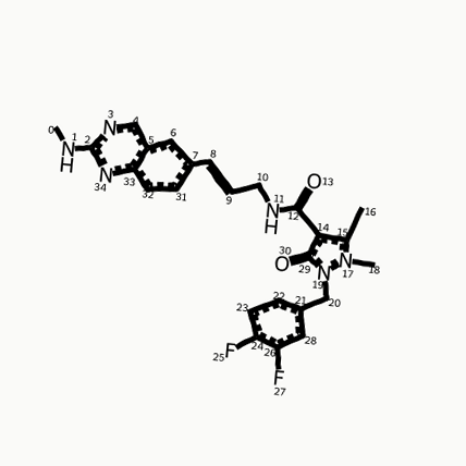 CNc1ncc2cc(C=CCNC(=O)c3c(C)n(C)n(Cc4ccc(F)c(F)c4)c3=O)ccc2n1